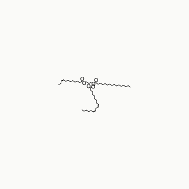 CC/C=C\CCCCCCCC(=O)OCC(COC(=O)CCCCCCCCCCCCCCC)OC(=O)CCCCCCC/C=C\C/C=C\CCCCC